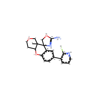 CC12COCCC1Oc1ccc(-c3cccnc3F)cc1C21COC(N)=N1